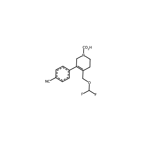 N#Cc1ccc(C2=C(COC(F)F)CCN(C(=O)O)C2)cc1